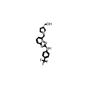 OC[C@H]1CCN(Cc2cccc3nc(Nc4ccc(C(F)(F)F)cc4)nn23)C1